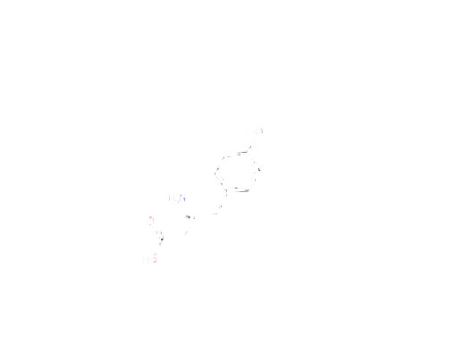 N[C@@H](CC(=O)O)Cc1ccc(Cl)cc1